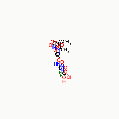 CC(C)OC(=O)C(C)NP(=O)(NC(C)C(=O)O)Oc1ccc(COC(=O)Nc2ccn([C@@H]3O[C@H](CO)[C@@H](O)C3(F)F)c(=O)n2)cc1